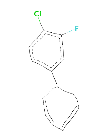 Fc1cc(C2C=CC=CC2)ccc1Cl